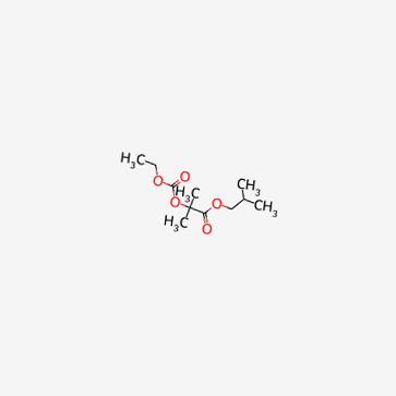 CCOC(=O)OC(C)(C)C(=O)OCC(C)C